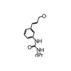 CCCNC(=O)Nc1cccc(C=CC[O])c1